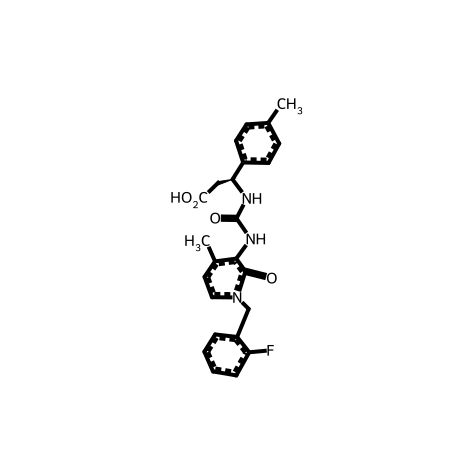 Cc1ccc([C@H](CC(=O)O)NC(=O)Nc2c(C)ccn(Cc3ccccc3F)c2=O)cc1